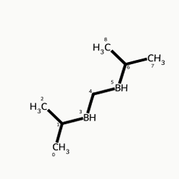 CC(C)BCBC(C)C